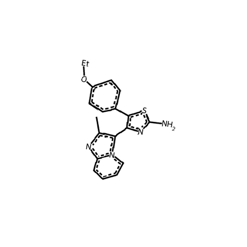 CCOc1ccc(-c2sc(N)nc2-c2c(C)nc3ccccn23)cc1